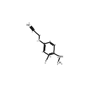 C#CCSc1ccc(NC)c(F)c1